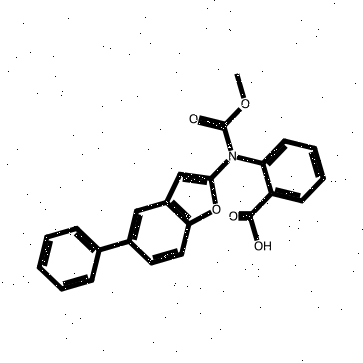 COC(=O)N(c1cc2cc(-c3ccccc3)ccc2o1)c1ccccc1C(=O)O